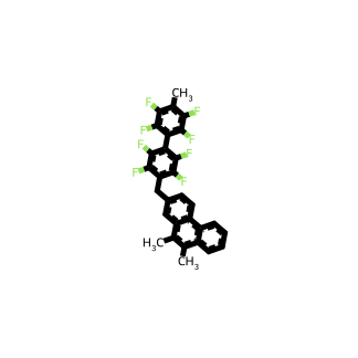 Cc1c(F)c(F)c(-c2c(F)c(F)c(Cc3ccc4c(c3)c(C)c(C)c3ccccc34)c(F)c2F)c(F)c1F